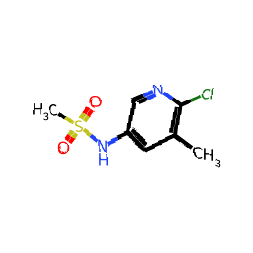 Cc1cc(NS(C)(=O)=O)cnc1Cl